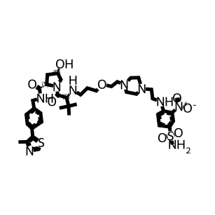 Cc1ncsc1-c1ccc(CNC(=O)[C@@H]2C[C@@H](O)CN2C(=O)[C@@H](NCCCOCCN2CCN(CCNc3ccc(S(N)(=O)=O)cc3[N+](=O)[O-])CC2)C(C)(C)C)cc1